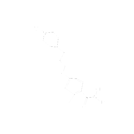 Cc1cc(OCCCC2CCN(C(=O)O)CC2)ccc1C(=O)N(O)C(C)C